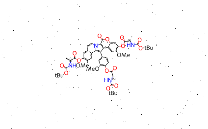 COc1cc(-c2c3c4cc(OC)c(OC(=O)[C@H](C)NC(=O)OC(C)(C)C)cc4oc(=O)c3n3ccc4cc(OC(=O)[C@H](C)NC(=O)OC(C)(C)C)c(OC)cc4c23)ccc1OC(=O)[C@H](C)NC(=O)OC(C)(C)C